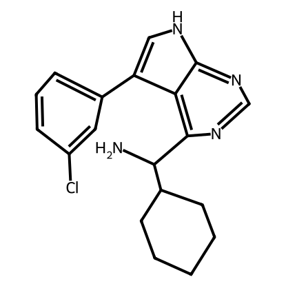 NC(c1ncnc2[nH]cc(-c3cccc(Cl)c3)c12)C1CCCCC1